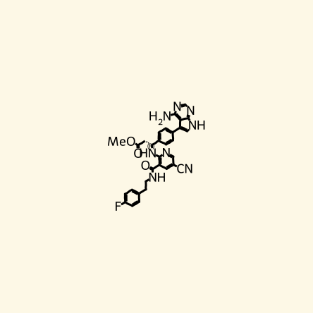 COC(=O)C[C@@H](Nc1ncc(C#N)cc1C(=O)NCCc1ccc(F)cc1)c1ccc(-c2c[nH]c3ncnc(N)c23)cc1